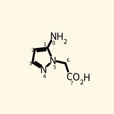 Nc1ccnn1CC(=O)O